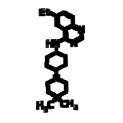 CCc1ccc2ncnc(N[C@H]3CC[C@H](N4CCC(C)(C)CC4)CC3)c2c1